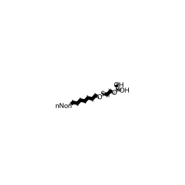 CCCCCCCCCCCCCCCCOSCCOP(O)O